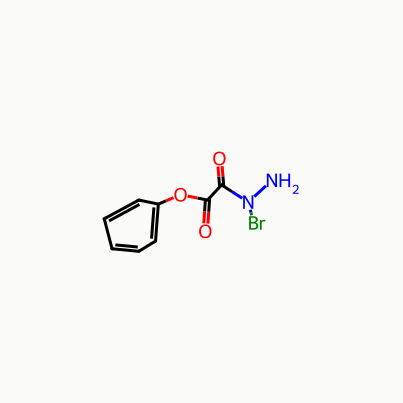 NN(Br)C(=O)C(=O)Oc1ccccc1